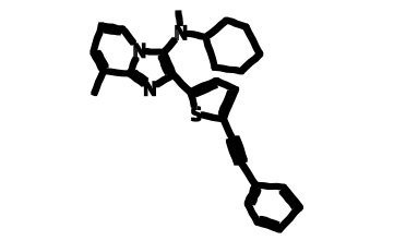 Cc1cccn2c(N(C)C3CCCCC3)c(-c3ccc(C#Cc4ccccc4)s3)nc12